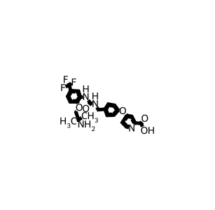 CC(C)(N)COc1ccc(C(F)(F)F)cc1NC(=O)NCc1ccc(Oc2ccnc(C(=O)O)c2)cc1